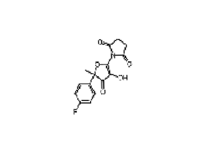 CC1(c2ccc(F)cc2)OC(N2C(=O)CCC2=O)=C(O)C1=O